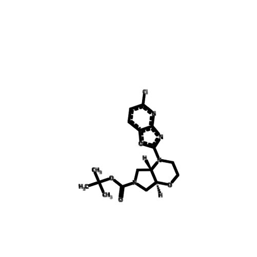 CC(C)(C)OC(=O)N1C[C@@H]2OCCN(c3nc4nc(Cl)ccc4o3)[C@H]2C1